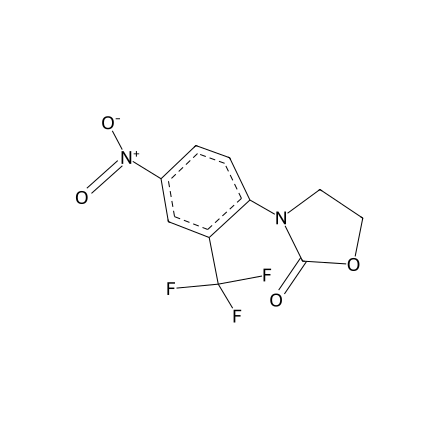 O=C1OCCN1c1ccc([N+](=O)[O-])cc1C(F)(F)F